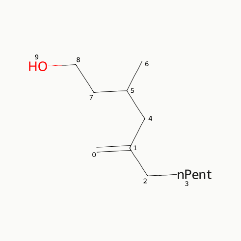 C=C(CCCCCC)CC(C)CCO